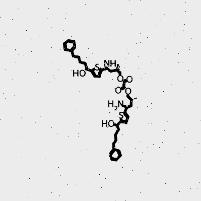 C[C@@H](COC(=O)C(=O)OC[C@H](C)CC(N)c1ccc(C(O)CCCCc2ccccc2)s1)CC(N)c1ccc(C(O)CCCCc2ccccc2)s1